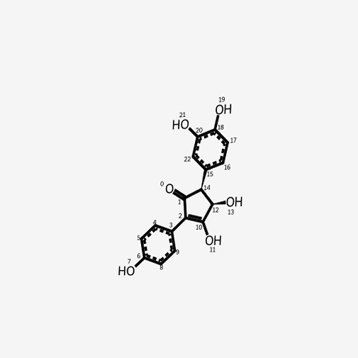 O=C1C(c2ccc(O)cc2)=C(O)[C@H](O)[C@@H]1c1ccc(O)c(O)c1